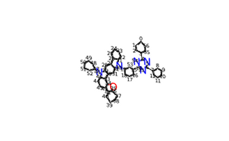 c1ccc(-c2nc(-c3ccccc3)nc(-c3cccc(-n4c5ccccc5c5cc6c(cc54)c4c5oc7ccccc7c5ccc4n6-c4ccccc4)c3)n2)cc1